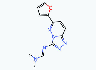 CN(C)C=Nc1nnc2ccc(-c3ccco3)nn12